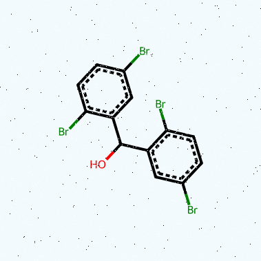 OC(c1cc(Br)ccc1Br)c1cc(Br)ccc1Br